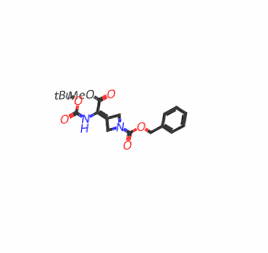 COC(=O)C(NC(=O)OC(C)(C)C)=C1CN(C(=O)OCc2ccccc2)C1